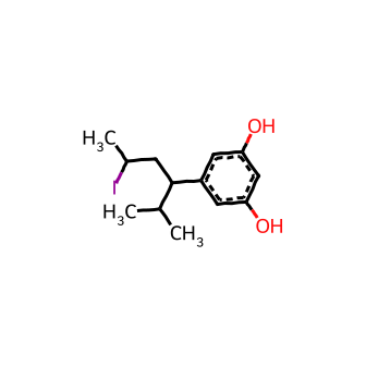 CC(I)CC(c1cc(O)cc(O)c1)C(C)C